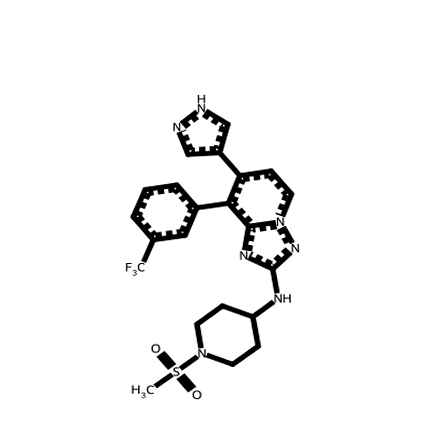 CS(=O)(=O)N1CCC(Nc2nc3c(-c4cccc(C(F)(F)F)c4)c(-c4cn[nH]c4)ccn3n2)CC1